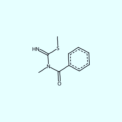 CSC(=N)N(C)C(=O)c1ccccc1